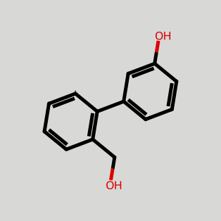 OCc1ccc[c]c1-c1cccc(O)c1